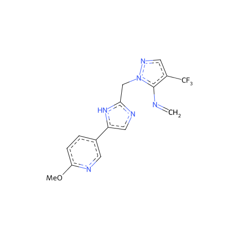 C=Nc1c(C(F)(F)F)cnn1Cc1ncc(-c2ccc(OC)nc2)[nH]1